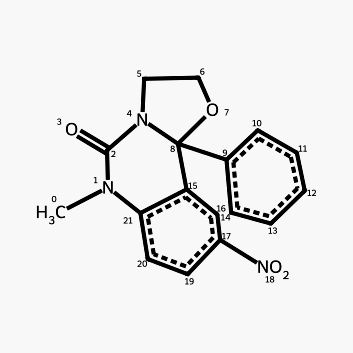 CN1C(=O)N2CCOC2(c2ccccc2)c2cc([N+](=O)[O-])ccc21